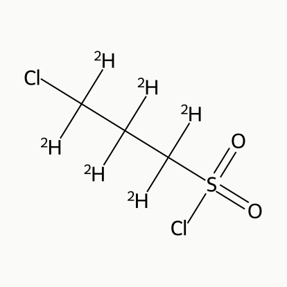 [2H]C([2H])(Cl)C([2H])([2H])C([2H])([2H])S(=O)(=O)Cl